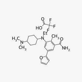 CCN(c1cc(-c2ccco2)cc(C(N)=O)c1C)C1CCC(N(C)C)CC1.O=C(O)C(F)(F)F